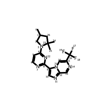 CC1CN(c2ccnc(-c3cnc4cnc(C(F)(F)F)cn34)n2)C(C)(C)C1